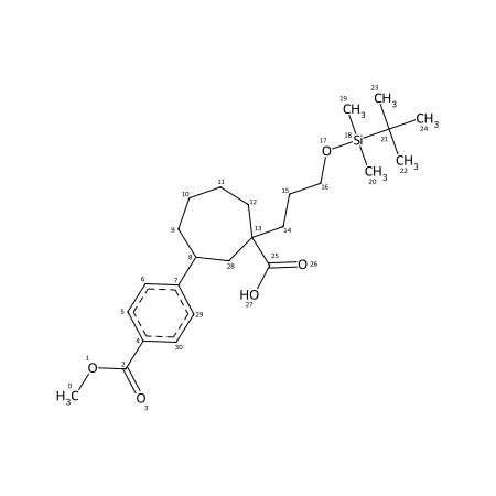 COC(=O)c1ccc(C2CCCCC(CCCO[Si](C)(C)C(C)(C)C)(C(=O)O)C2)cc1